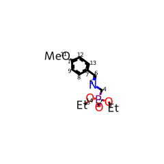 CCOP(=O)(CN=Cc1ccc(OC)cc1)OCC